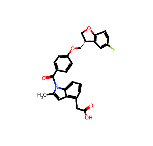 Cc1cc2c(CC(=O)O)cccc2n1C(=O)c1ccc(OC[C@@H]2COc3ccc(F)cc32)cc1